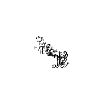 CC(C)C1=C2[C@H]3CC[C@@H]4[C@@]5(C)CC[C@H](OC(=O)[C@H]6C[C@@H](Cc7ccccc7)C6(C)C)C(C)(C)[C@@H]5CC[C@@]4(C)[C@]3(C)CC[C@@]2(NC(=O)C2(NC(=O)OC(C)(C)C)CCCCC2)CC1=O